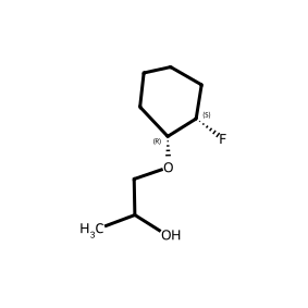 CC(O)CO[C@@H]1CCCC[C@@H]1F